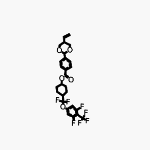 C=CC1COC(c2ccc(C(=O)OC3CCC(C(F)(F)Oc4cc(F)c(C(F)(F)F)c(F)c4)CC3)cc2)OC1